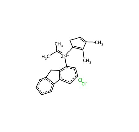 CC1=CC[C]([Zr+2](=[C](C)C)[c]2cccc3c2Cc2ccccc2-3)=C1C.[Cl-].[Cl-]